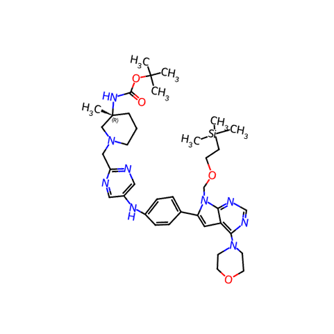 CC(C)(C)OC(=O)N[C@]1(C)CCCN(Cc2ncc(Nc3ccc(-c4cc5c(N6CCOCC6)ncnc5n4COCC[Si](C)(C)C)cc3)cn2)C1